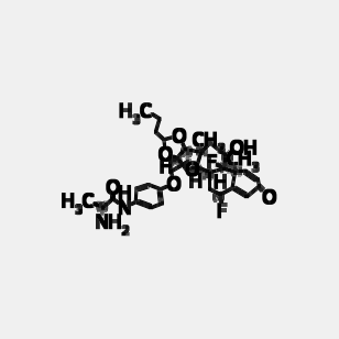 CCCC1O[C@@H]2C[C@H]3[C@@H]4C[C@H](F)C5=CC(=O)C=C[C@]5(C)[C@@]4(F)[C@@H](O)C[C@]3(C)[C@]2(C(=O)COc2ccc(NC(=O)[C@H](C)N)cc2)O1